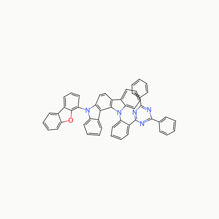 c1ccc(-c2nc(-c3ccccc3)nc(-c3ccccc3-n3c4ccccc4c4ccc5c(c6ccccc6n5-c5cccc6c5oc5ccccc56)c43)n2)cc1